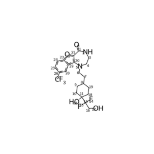 O=C1NCCN(CCC2CCC(O)(C(F)(F)CO)CC2)c2c1oc1ccc(C(F)(F)F)cc21